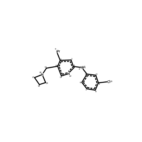 CC(C)c1cc(Nc2cccc(Cl)c2)ncc1CN1CCC1